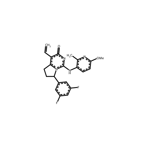 C=Cc1c2n(c(Nc3ccc(OC)nc3C)nc1=O)C(c1cc(F)cc(F)c1)CC2